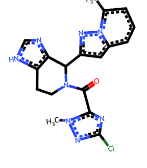 Cn1nc(Cl)nc1C(=O)N1CCc2[nH]cnc2C1c1cc2cccc(C(F)(F)F)n2n1